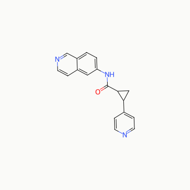 O=C(Nc1ccc2cnccc2c1)C1CC1c1ccncc1